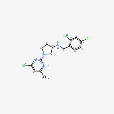 Cc1cc(Cl)nc(N2CCC(NCc3ccc(Cl)cc3Cl)C2)n1